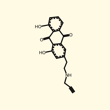 C#CCNCCc1cc(O)c2c(c1)C(=O)c1cccc(O)c1C2=O